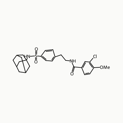 COc1ccc(C(=O)NCCc2ccc(S(=O)(=O)NC34CC5CC(CC(C5)C3)C4)cc2)cc1Cl